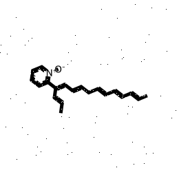 CC=CC=CC=CCC=CC=C(C=CC)c1cccc[n+]1[O-]